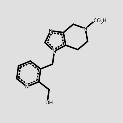 O=C(O)N1CCc2c(ncn2Cc2cccnc2CO)C1